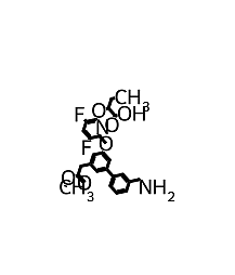 CCC(Oc1nc(Oc2cc(CC(=O)OC)cc(-c3cccc(CN)c3)c2)c(F)cc1F)C(=O)O